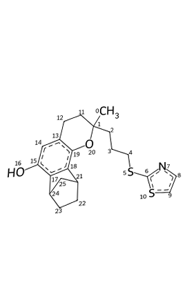 CC1(CCCSc2nccs2)CCc2cc(O)c3c(c2O1)C1CCC3C1